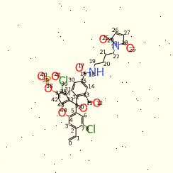 C=Cc1cc2c(cc1Cl)C1(OC(=O)c3cc(C(=O)NCCCCN4C(=O)C=CC4=O)ccc31)c1cc(Cl)c(OP(=O)=O)cc1O2